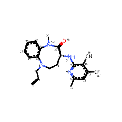 C=CCN1CC[C@H](Nc2nc(C)cc(C(F)(F)F)c2C#N)C(=O)N(C)c2ccccc21